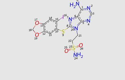 Nc1ncnc2c1nc(Sc1cc3c(cc1I)OCO3)n2CCS(N)(=O)=O